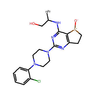 CCCC(CO)Nc1nc(N2CCN(c3ccccc3Cl)CC2)nc2c1[S+]([O-])CC2